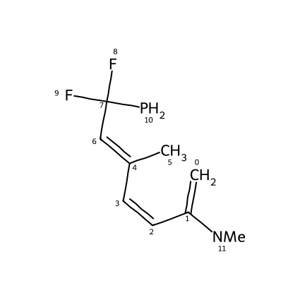 C=C(/C=C\C(C)=C\C(F)(F)P)NC